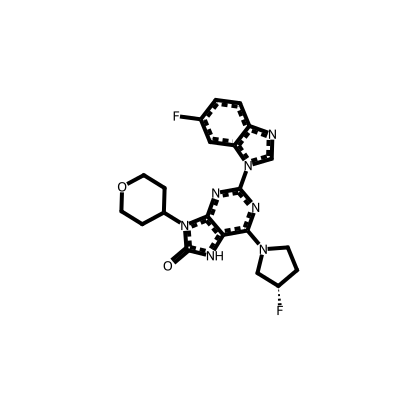 O=c1[nH]c2c(N3CC[C@H](F)C3)nc(-n3cnc4ccc(F)cc43)nc2n1C1CCOCC1